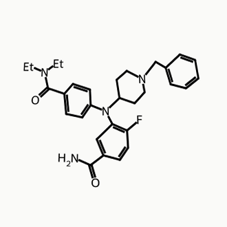 CCN(CC)C(=O)c1ccc(N(c2cc(C(N)=O)ccc2F)C2CCN(Cc3ccccc3)CC2)cc1